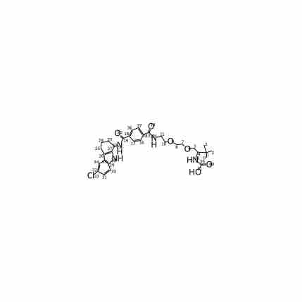 CC(C)(C)C(COCCOCCNC(=O)c1ccc(C(=O)NC2CCCc3c2[nH]c2ccc(Cl)cc32)cc1)NC(=O)O